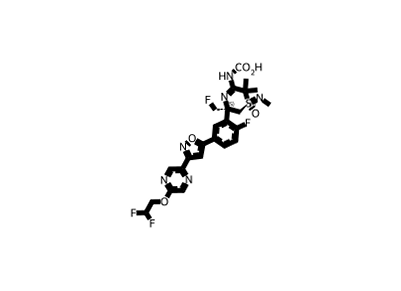 CN=[S@@]1(=O)C[C@@](CF)(c2cc(-c3cc(-c4cnc(OCC(F)F)cn4)no3)ccc2F)N=C(NC(=O)O)C1(C)C